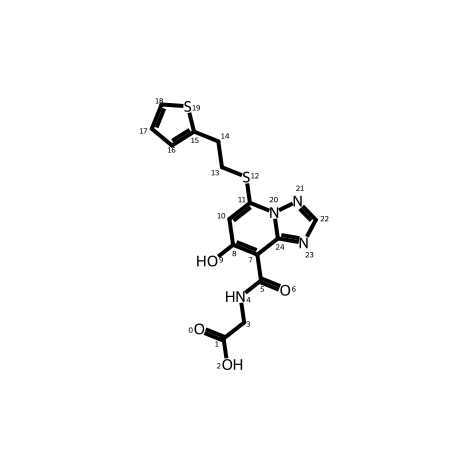 O=C(O)CNC(=O)c1c(O)cc(SCCc2cccs2)n2ncnc12